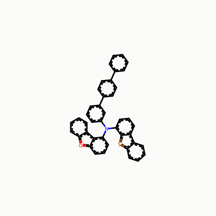 c1ccc(-c2ccc(-c3cccc(N(c4cccc5c4sc4ccccc45)c4cccc5oc6ccccc6c45)c3)cc2)cc1